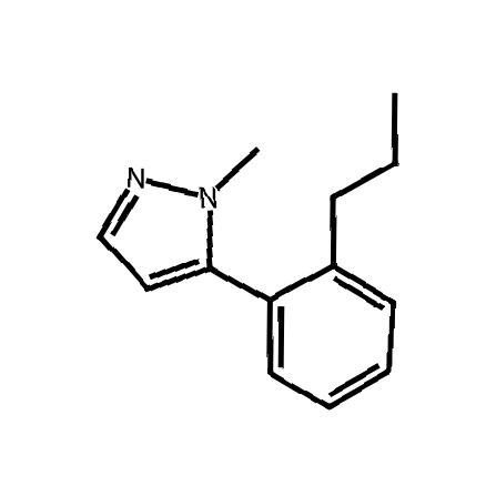 CCCc1ccccc1-c1ccnn1C